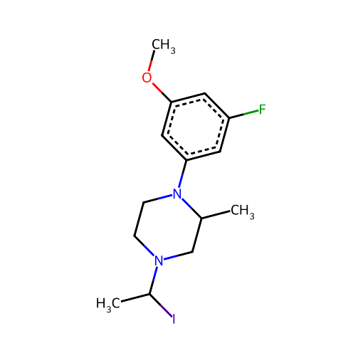 COc1cc(F)cc(N2CCN(C(C)I)CC2C)c1